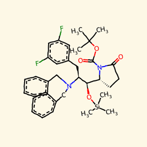 CC(C)(C)OC(=O)N1C(=O)CC[C@@H]1[C@@H](O[Si](C)(C)C)[C@H](Cc1cc(F)cc(F)c1)N(Cc1ccccc1)Cc1ccccc1